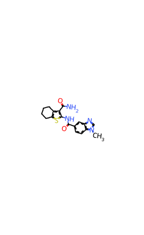 Cn1cnc2cc(C(=O)Nc3sc4c(c3C(N)=O)CCCC4)ccc21